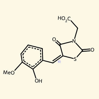 COc1cccc(/C=C2/SC(=O)N(CC(=O)O)C2=O)c1O